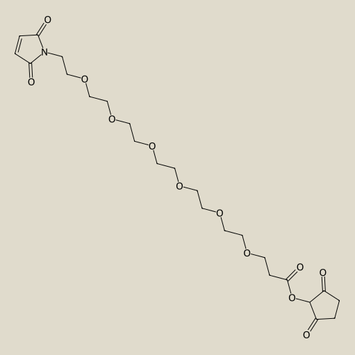 O=C(CCOCCOCCOCCOCCOCCOCCN1C(=O)C=CC1=O)OC1C(=O)CCC1=O